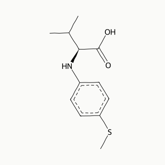 CSc1ccc(N[C@H](C(=O)O)C(C)C)cc1